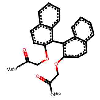 COC(=O)COc1ccc2ccccc2c1-c1c(OCC(=O)OC)ccc2ccccc12